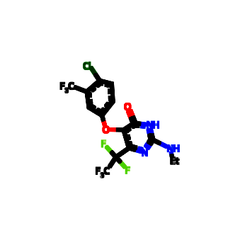 CCNc1nc(C(F)(F)C(F)(F)F)c(Oc2ccc(Cl)c(C(F)(F)F)c2)c(=O)[nH]1